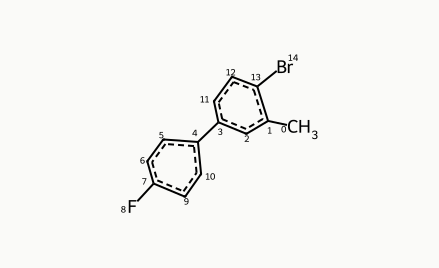 Cc1cc(-c2ccc(F)cc2)ccc1Br